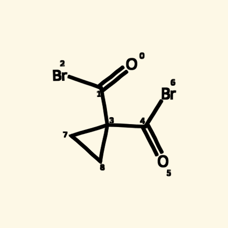 O=C(Br)C1(C(=O)Br)CC1